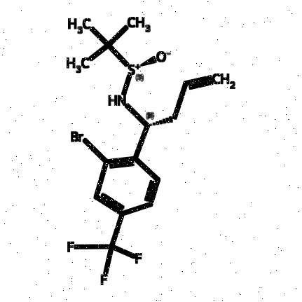 C=CC[C@@H](N[S@+]([O-])C(C)(C)C)c1ccc(C(F)(F)F)cc1Br